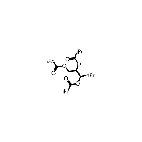 CCCC(OC(=O)C(C)C)C(COC(=O)C(C)C)OC(=O)C(C)C